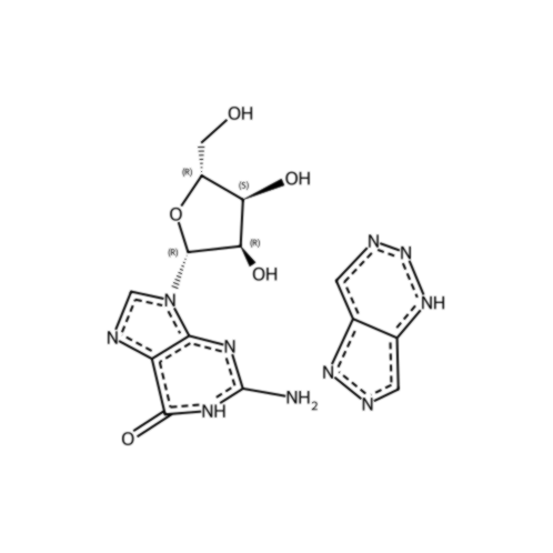 Nc1nc2c(ncn2[C@@H]2O[C@H](CO)[C@@H](O)[C@H]2O)c(=O)[nH]1.c1nn[nH]c2cnnc1-2